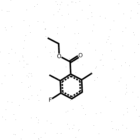 CCOC(=O)c1c(C)ccc(F)c1C